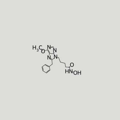 COc1ncnc2c1nc(Cc1ccccc1)n2CCCCC(=O)NO